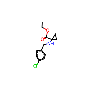 CCOC(=O)C1(NCc2ccc(Cl)cc2)CC1